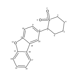 O=S1(=O)CC[CH]CC1c1ccc2oc3ccccc3c2c1